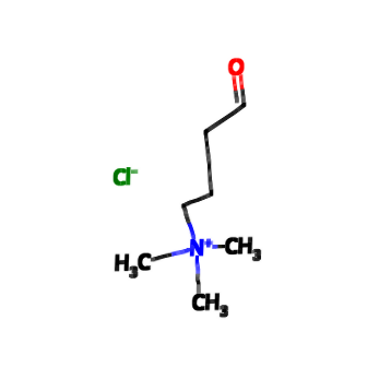 C[N+](C)(C)CCCC=O.[Cl-]